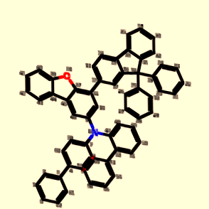 c1ccc(-c2ccc(N(c3cc(-c4ccc5c(c4)C(c4ccccc4)(c4ccccc4)c4ccccc4-5)c4oc5ccccc5c4c3)c3ccccc3-c3ccccc3)cc2)cc1